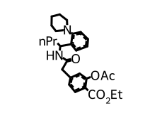 CCCC(NC(=O)Cc1ccc(C(=O)OCC)c(OC(C)=O)c1)c1ccccc1N1CCCCC1